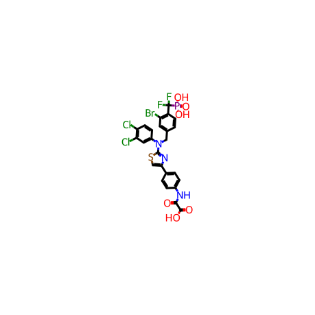 O=C(O)C(=O)Nc1ccc(-c2csc(N(Cc3ccc(C(F)(F)P(=O)(O)O)c(Br)c3)c3ccc(Cl)c(Cl)c3)n2)cc1